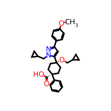 COc1ccc(-c2cc([C@]3(OCC4CC4)CC[C@](C(=O)O)(c4ccccc4)CC3)n(CC3CC3)n2)cc1